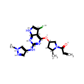 C=CC(=O)N1C[C@H](Oc2nc(Nc3cnn(CC)c3)nc3[nH]cc(F)c23)C[C@@H]1C